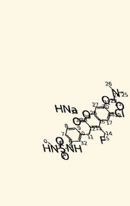 CNS(=O)(=O)Nc1cccc(Cc2c(CF)c3cc(Cl)c(OC(=O)N(C)C)cc3oc2=O)c1.[NaH]